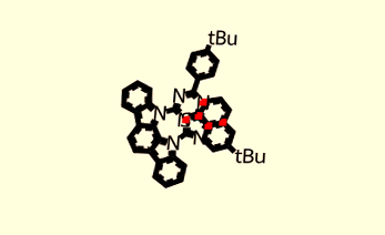 CC(C)(C)c1ccc(-c2nc(-c3ccc(C(C)(C)C)cc3)nc(-n3c4ccccc4c4ccc5c6ccccc6n(-c6nc7ccccc7s6)c5c43)n2)cc1